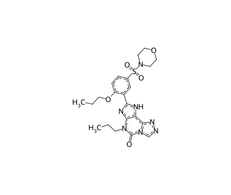 CCCOc1ccc(S(=O)(=O)N2CCOCC2)cc1-c1nc2c([nH]1)c1nncn1c(=O)n2CCC